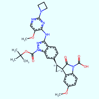 COc1ccc2c(c1)[C@]1(C[C@H]1c1ccc3c(Nc4nc(N5CCC5)ncc4OC)nn(C(=O)OC(C)(C)C)c3c1)C(=O)N2C(=O)O